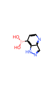 OB(O)c1ccnc2cn[nH]c12